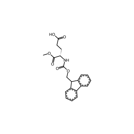 COC(=O)[C@H](CCC(=O)O)NC(=O)OCC1c2ccccc2-c2ccccc21